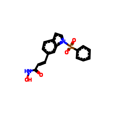 O=C(/C=C/c1ccc2ccn(S(=O)(=O)c3ccccc3)c2c1)NO